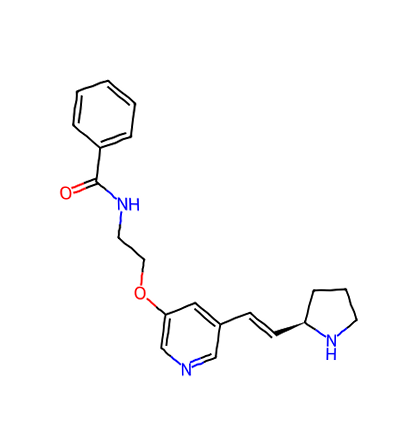 O=C(NCCOc1cncc(C=C[C@H]2CCCN2)c1)c1ccccc1